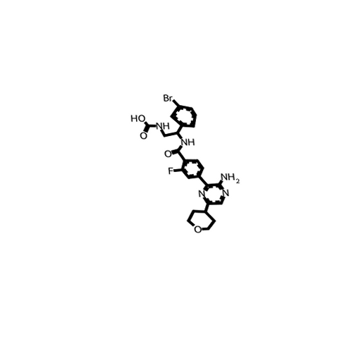 Nc1ncc(C2CCOCC2)nc1-c1ccc(C(=O)NC(CNC(=O)O)c2cccc(Br)c2)c(F)c1